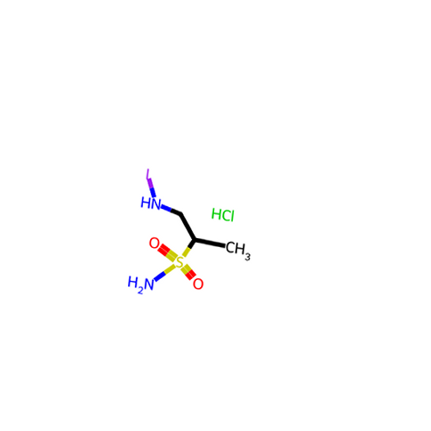 CC(CNI)S(N)(=O)=O.Cl